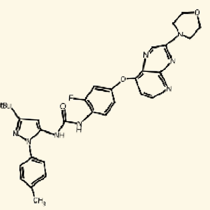 Cc1ccc(-n2nc(C(C)(C)C)cc2NC(=O)Nc2ccc(Oc3ccnc4nc(N5CCOCC5)cnc34)cc2F)cc1